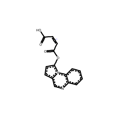 O=C(O)/C=C\C(=O)Oc1ccc2cnc3ccccc3n12